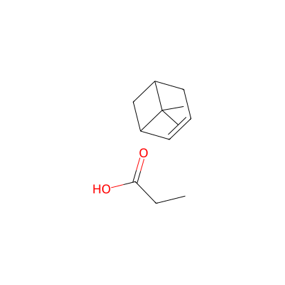 CC1(C)C2C=CCC1C2.CCC(=O)O